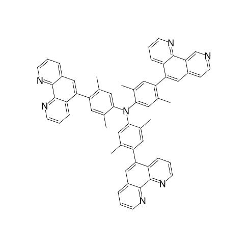 Cc1cc(N(c2cc(C)c(-c3cc4cccnc4c4ncccc34)cc2C)c2cc(C)c(-c3cc4cccnc4c4ncccc34)cc2C)c(C)cc1-c1cc2ccncc2c2ncccc12